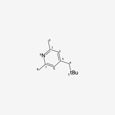 Cc1cc(CC(C)(C)C)cc(C)n1